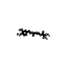 C=C(C)C(=O)OCCNC(=O)OCCc1ccc(C)c(O)c1